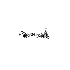 C[C@@H]1Cc2c([nH]c3ccccc23)[C@@H](c2cnc(C3CCC(OCCCN4CCN(c5ccc6c(c5)CN(C5CCC(=O)NC5=O)C6=O)CC4)CC3)nc2)N1CC(C)(C)F